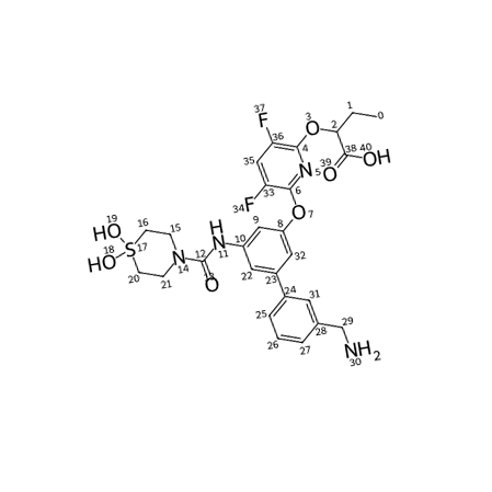 CCC(Oc1nc(Oc2cc(NC(=O)N3CCS(O)(O)CC3)cc(-c3cccc(CN)c3)c2)c(F)cc1F)C(=O)O